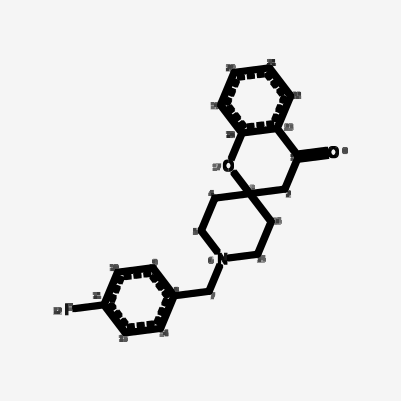 O=C1CC2(CCN(Cc3ccc(F)cc3)CC2)Oc2ccccc21